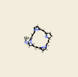 C1=Cc2cc3ccc(cc4nc(cc5ccc(cc1n2)[nH]5)C=C4)[nH]3.[NH2][Mn]